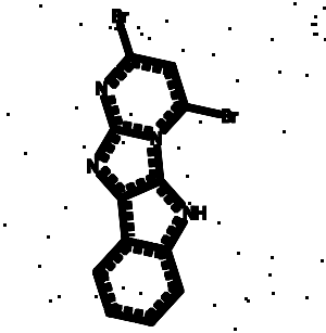 Brc1cc(Br)n2c(n1)nc1c3ccccc3[nH]c12